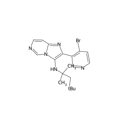 CC(C)(C)CC(C)(C)Nc1c(-c2cnccc2Br)nc2ccncn12